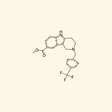 COC(=O)c1ccc2[nH]c3c(c2c1)CN(Cc1ccc(C(F)(F)F)cc1)CC3